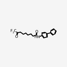 O=C(CCCCCCC(=O)C(F)(F)F)Nc1ccc(-c2ccccc2)cc1